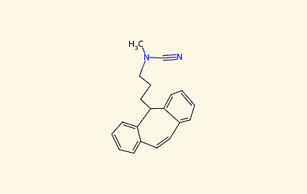 CN(C#N)CCCC1c2ccccc2C=Cc2ccccc21